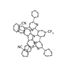 N#Cc1ccccc1-c1ccc2c(c1)c1cc(-c3ccccc3C#N)ccc1n2-c1c(-c2cc(-c3ccccc3)nc(-c3ccccc3)n2)cc(C(F)(F)F)cc1-c1nc(-c2ccccc2)cc(-c2ccccc2)n1